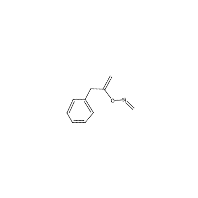 C=NOC(=C)Cc1ccccc1